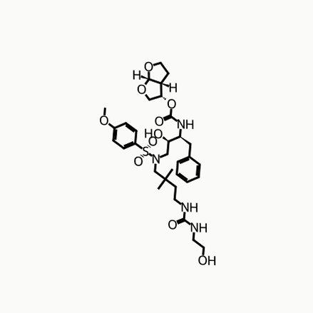 COc1ccc(S(=O)(=O)N(C[C@@H](O)[C@H](Cc2ccccc2)NC(=O)O[C@@H]2CO[C@@H]3OCC[C@@H]32)CC(C)(C)CCNC(=O)NCCO)cc1